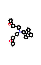 c1ccc(C2(c3ccc(N(c4ccc(-c5ccc6oc7ccccc7c6c5)cc4)c4cccc(-c5ccc6oc7ccccc7c6c5)c4)cc3)c3ccccc3-c3ccccc32)cc1